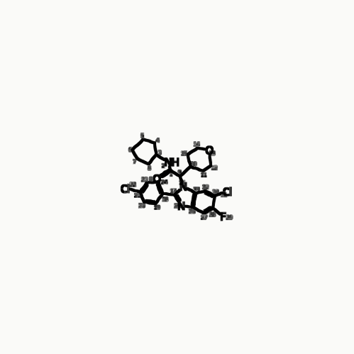 O=C(NC1CCCCC1)C(C1CCOCC1)n1c(-c2ccc(Cl)cc2)nc2cc(F)c(Cl)cc21